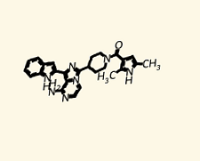 Cc1cc(C(=O)N2CCC(c3nc(-c4cc5ccccc5[nH]4)c4c(N)nccn34)CC2)c(C)[nH]1